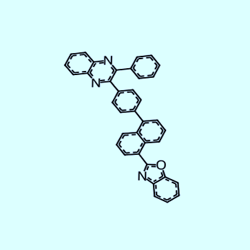 c1ccc(-c2nc3ccccc3nc2-c2ccc(-c3cccc4c(-c5nc6ccccc6o5)cccc34)cc2)cc1